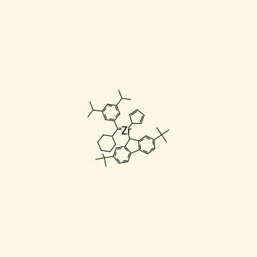 CC(C)c1cc([C](C2CCCCC2)=[Zr]([CH]2C=CC=C2)[CH]2c3cc(C(C)(C)C)ccc3-c3ccc(C(C)(C)C)cc32)cc(C(C)C)c1